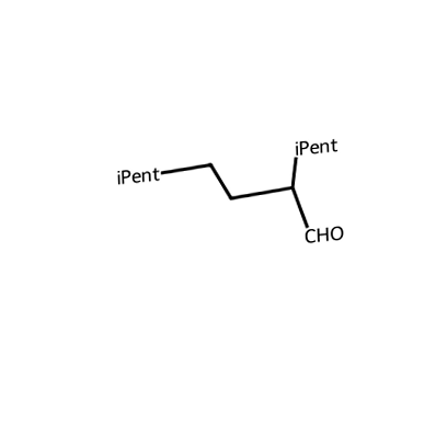 CCCC(C)CCC(C=O)C(C)CCC